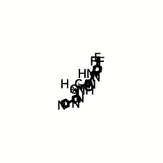 C[C@@H](NC(=O)c1cc(-c2ccncc2)ncn1)c1cc(-c2nc3ccc(C(F)(F)F)cc3[nH]2)no1